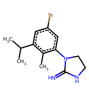 Cc1c(C(C)C)cc(Br)cc1N1CCNC1=N